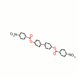 O=C(Oc1ccc(-c2ccc(OC(=O)c3ccc([N+](=O)[O-])cc3)cc2)cc1)c1ccc([N+](=O)[O-])cc1